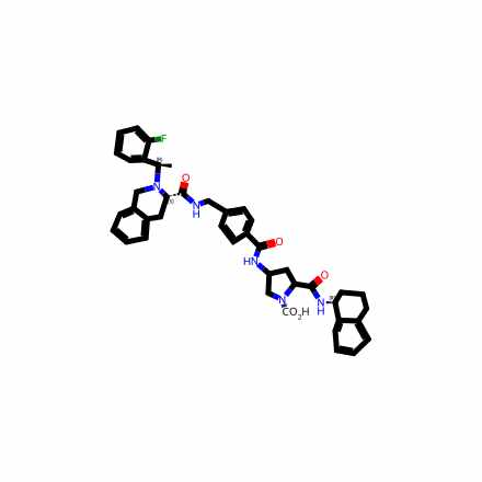 C[C@H](c1ccccc1F)N1Cc2ccccc2C[C@H]1C(=O)NCc1ccc(C(=O)NC2CC(C(=O)N[C@@H]3CCCc4ccccc43)N(C(=O)O)C2)cc1